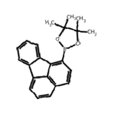 CC1(C)OB(c2ccc3cccc4c3c2-c2ccccc2-4)OC1(C)C